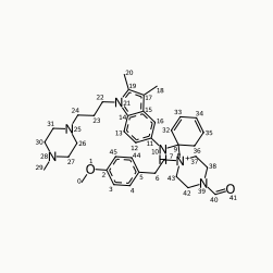 COc1ccc(CC[N+]2(C3(Nc4ccc5c(c4)c(C)c(C)n5CCCN4CCN(C)CC4)C=CC=CC3)CCN(C=O)CC2)cc1